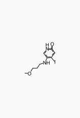 COCCCNc1c[nH]c(=O)cc1I